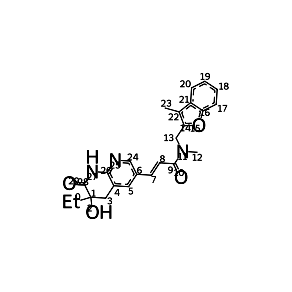 CCC1(O)Cc2cc(/C=C/C(=O)N(C)Cc3oc4ccccc4c3C)cnc2NC1=O